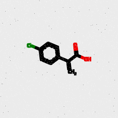 C=C(C(=O)O)c1ccc(Cl)cc1